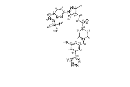 Cc1nn(-c2ccc3nnc(C(F)(F)F)n3n2)c(C)c1CCC(=O)N1CCN(Cc2cc(F)cc(-c3nnn[nH]3)c2)CC1